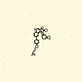 CO[C@H]1CCC[C@@H](n2c(=O)n(C)c3cnc4ccc(-c5ccc(OCCCN(C)C)cc5)cc4c32)C1